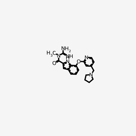 CN(C(=N)N)C(=O)c1cc2cccc(Oc3cc(CN4CCCC4)ccn3)c2[nH]1